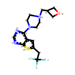 FC(F)(F)Cc1cc2c(N3CCN(CC4COC4)CC3)ncnc2s1